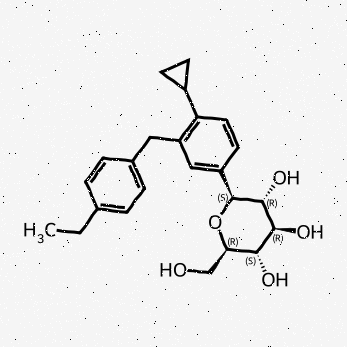 CCc1ccc(Cc2cc([C@@H]3O[C@H](CO)[C@@H](O)[C@H](O)[C@H]3O)ccc2C2CC2)cc1